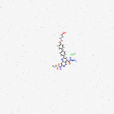 CS(=O)(=O)Nc1cc2nc(-c3ccc(-c4ccc(OCCCCO)cc4)cc3)cc(C(=O)NN)c2cn1.Cl